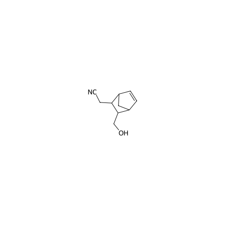 N#CCC1C2C=CC(C2)C1CO